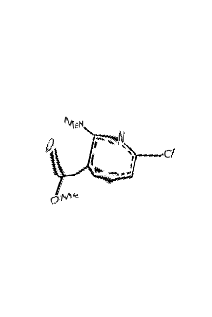 CNc1nc(Cl)ccc1C(=O)OC